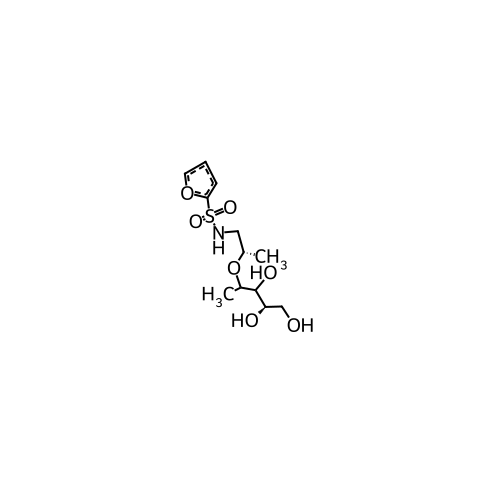 CC(O[C@@H](C)CNS(=O)(=O)c1ccco1)C(O)[C@H](O)CO